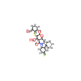 O=c1oc2cc3n(c(=O)c2c(O)c1Sc1ccccc1Br)-c1ccc(F)cc1C31CCCCC1